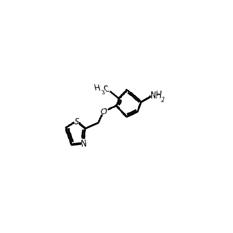 Cc1cc(N)ccc1OCc1nccs1